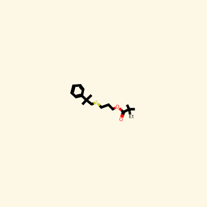 CCC(C)(C)C(=O)OCCCSCC(C)(C)c1ccccc1